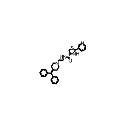 O=C(NCCN1CCC(=C(c2ccccc2)c2ccccc2)CC1)[C@@H]1CSC(c2cccnc2)N1